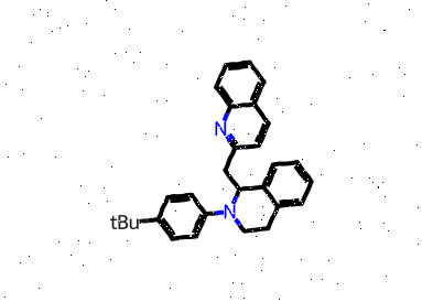 CC(C)(C)c1ccc(N2CCc3ccccc3C2Cc2ccc3ccccc3n2)cc1